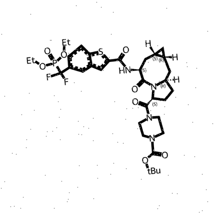 CCOP(=O)(OCC)C(F)(F)c1ccc2sc(C(=O)N[C@H]3C[C@@H]4C[C@@H]4C[C@H]4CC[C@@H](C(=O)N5CCN(C(=O)OC(C)(C)C)CC5)N4C3=O)cc2c1